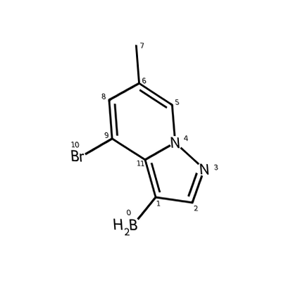 Bc1cnn2cc(C)cc(Br)c12